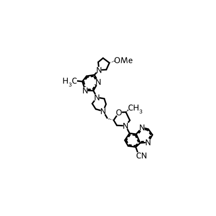 CO[C@H]1CCN(c2cc(C)nc(N3CCN(C[C@H]4CN(c5ccc(C#N)c6nccnc56)C[C@@H](C)O4)CC3)n2)C1